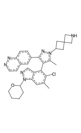 Cc1cc2c(cnn2C2CCCCO2)c(-c2c(-c3ccc4nnccc4c3)nn(C3CC4(CNC4)C3)c2C)c1Cl